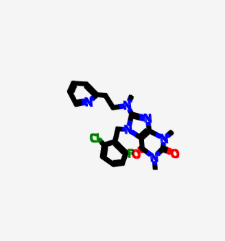 CN(CCc1ccccn1)c1nc2c(c(=O)n(C)c(=O)n2C)n1Cc1c(F)cccc1Cl